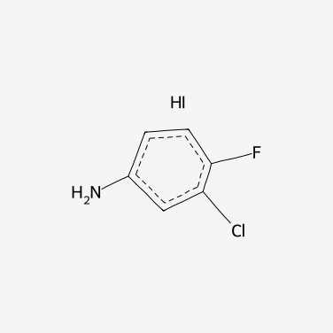 I.Nc1ccc(F)c(Cl)c1